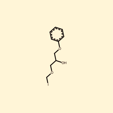 OC(COCI)COc1ccccc1